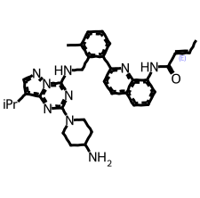 C/C=C/C(=O)Nc1cccc2ccc(-c3cccc(C)c3CNc3nc(N4CCC(N)CC4)nc4c(C(C)C)cnn34)nc12